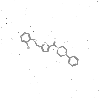 O=C(c1ccc(COc2ccccc2Br)o1)N1CCN(c2ccccc2)CC1